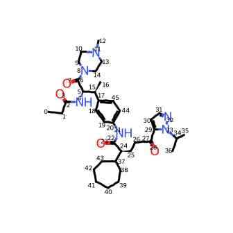 CCC(=O)N[C@@H](C(=O)N1CCN(C)CC1)[C@@H](C)c1ccc(NC(=O)[C@@H](CCC(=O)c2ccnn2C(C)C)C2CCCCCC2)cc1